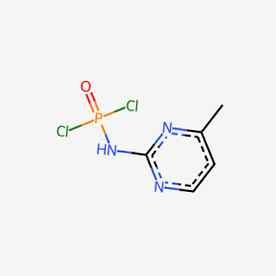 Cc1ccnc(NP(=O)(Cl)Cl)n1